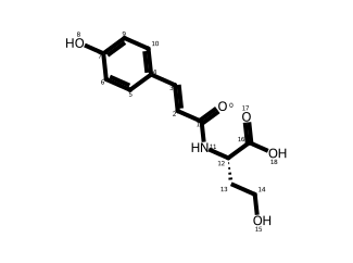 O=C(/C=C/c1ccc(O)cc1)N[C@@H](CCO)C(=O)O